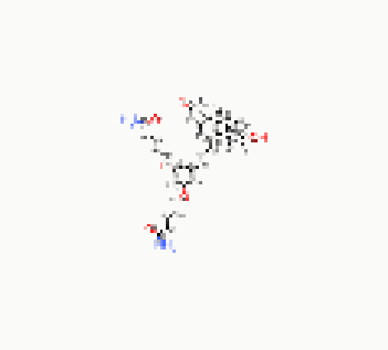 C[C@]12CCC(=O)CC1CC(CCCc1cc(OCCCCC(N)=O)cc(OCCCCC(N)=O)c1)[C@@H]1[C@H]2CC[C@]2(C)C(O)CC[C@@H]12